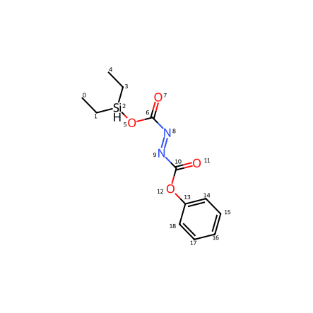 CC[SiH](CC)OC(=O)N=NC(=O)Oc1ccccc1